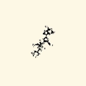 C#CC1O[C@@H](n2cnc3c(N)nc(F)nc32)CC1OC(=O)C(C)(CC)OC(=O)C(CC)CC